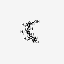 Cn1cc(NC(=O)c2cc(NC(=O)c3cc(NC(=O)OC(C)(C)C)cn3C)cn2C)cc1C(=O)NCCCO